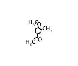 CCC(=O)c1ccc(OC)c(C)c1